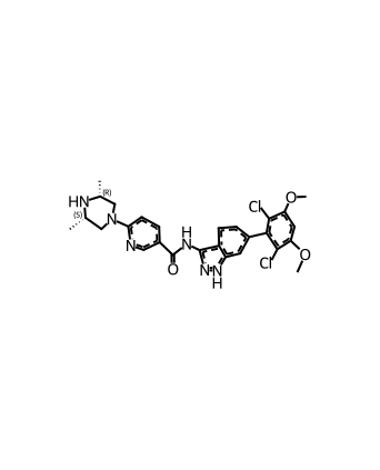 COc1cc(OC)c(Cl)c(-c2ccc3c(NC(=O)c4ccc(N5C[C@@H](C)N[C@@H](C)C5)nc4)n[nH]c3c2)c1Cl